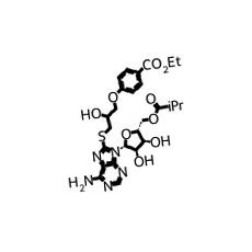 CCOC(=O)c1ccc(OCC(O)CSc2nc3c(N)ncnc3n2[C@@H]2O[C@H](COC(=O)C(C)C)[C@@H](O)[C@H]2O)cc1